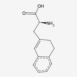 N[C@@H](CC1=Cc2ccccc2CC1)C(=O)O